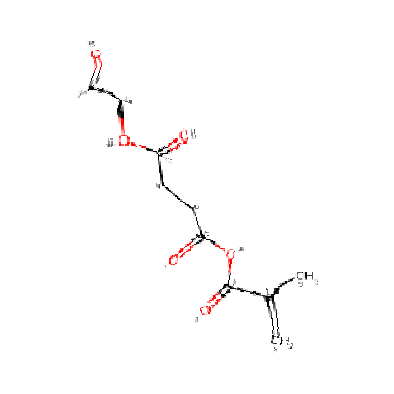 C=C(C)C(=O)OC(=O)CCC(=O)OCC=O